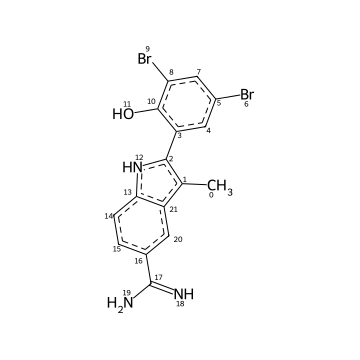 Cc1c(-c2cc(Br)cc(Br)c2O)[nH]c2ccc(C(=N)N)cc12